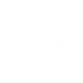 IC1=Cc2ccc3c(c2CC1)CCC(N(c1ccccc1)c1ccccc1)=C3